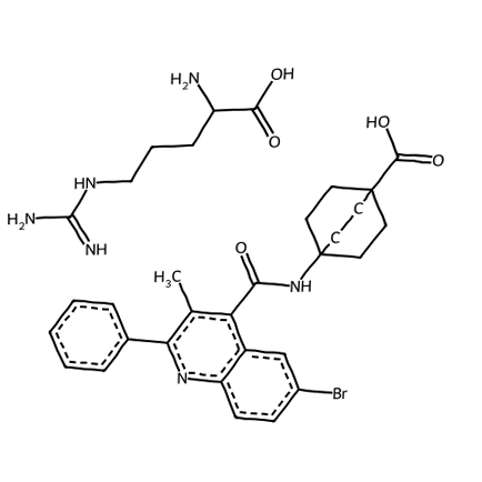 Cc1c(-c2ccccc2)nc2ccc(Br)cc2c1C(=O)NC12CCC(C(=O)O)(CC1)CC2.N=C(N)NCCCC(N)C(=O)O